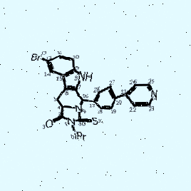 CC(C)N1C(=O)C2Cc3c([nH]c4ccc(Br)cc34)C(c3ccc(-c4ccncc4)cc3)N2C1=S